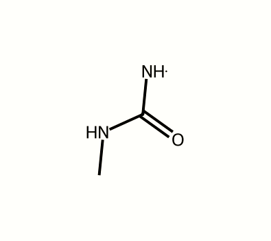 CNC([NH])=O